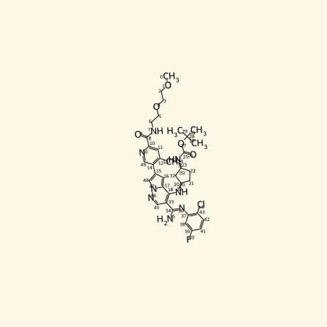 COCCOCCNC(=O)c1cc(C)c(-c2cc3c(N[C@@H]4CC[C@H](NC(=O)OC(C)(C)C)C4)c(C(N)=Nc4cc(F)ccc4Cl)cnn3c2)cn1